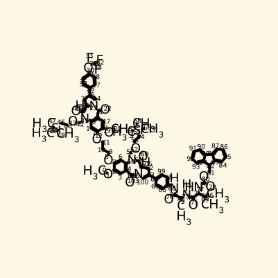 COc1cc2c(cc1OCCCOc1cc3c(cc1OC)C(=O)N1C=C(c4ccc(OC(F)(F)F)cc4)C[C@H]1C(=O)N3COCC[Si](C)(C)C)N(COCC[Si](C)(C)C)C(=O)[C@@H]1CC(c3ccc(NC(=O)C(C)NC(=O)[C@@H](NC(=O)OCC4c5ccccc5-c5ccccc54)C(C)C)cc3)=CN1C2=O